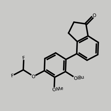 COc1c(OC(F)F)ccc(-c2cccc3c2CCC3=O)c1OCC(C)C